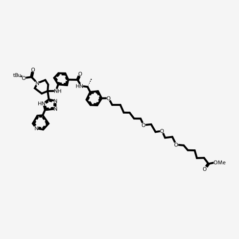 COC(=O)CCCCCOCCOCCOCCCCCCOc1cccc([C@@H](C)NC(=O)c2cccc(NC3(c4nnc(-c5ccncc5)[nH]4)CCN(C(=O)OC(C)(C)C)CC3)c2)c1